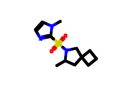 CC1CC2(CCC2)CN1S(=O)(=O)c1nccn1C